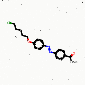 COC(=O)c1ccc(N=Nc2ccc(OCCCCCCl)cc2)cc1